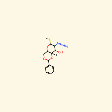 CS[C@@H]1OC2COC(c3ccccc3)O[C@H]2[C@H](O)C1N=[N+]=[N-]